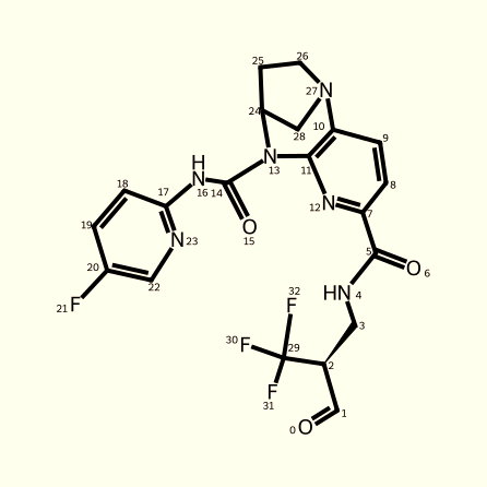 O=C[C@H](CNC(=O)c1ccc2c(n1)N(C(=O)Nc1ccc(F)cn1)C1CCN2C1)C(F)(F)F